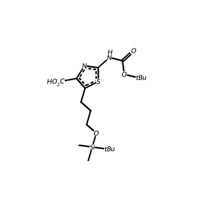 CC(C)(C)OC(=O)Nc1nc(C(=O)O)c(CCCO[Si](C)(C)C(C)(C)C)s1